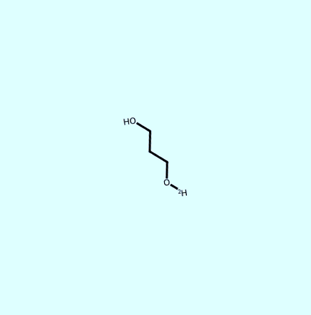 [2H]OCCCO